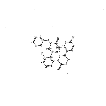 O=C1CCN(c2ccc(Br)cc2NC(=O)C(Cc2ccccc2)NC(=O)c2ccccc2F)CC1